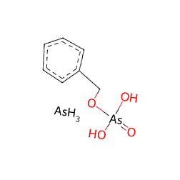 O=[As](O)(O)OCc1ccccc1.[AsH3]